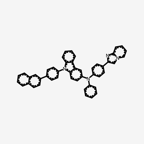 c1ccc(N(c2ccc(-c3cn4ccccc4n3)cc2)c2ccc3c(c2)c2ccccc2n3-c2ccc(-c3ccc4ccccc4c3)cc2)cc1